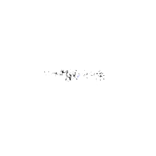 C=N/C(=C\NC[C@@H]1CCCN1C(=O)[C@@H](NC(=O)OC)C1CC1)c1cnc(-c2ccc(-c3cnc([C@@H]4CCCN4C(=O)CC4CC4)[nH]3)cc2)nc1